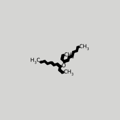 C\C=C/C(=C\C=C\CCCC)OC(/C=C\C)=C/C=C/CCCC